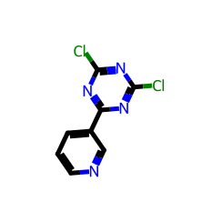 Clc1nc(Cl)nc(-c2cccnc2)n1